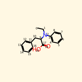 CCN(c1ccccc1)C(Cc1ccccc1)C(=O)O